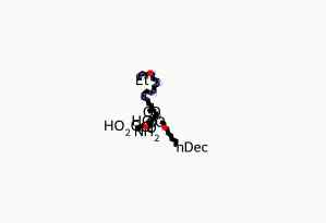 CC/C=C\C/C=C\C/C=C\C/C=C\C/C=C\CCCC(=O)O[C@H](COCCCCCCCCCCCCCCCCCC)COP(=O)(O)OC[C@H](N)C(=O)O